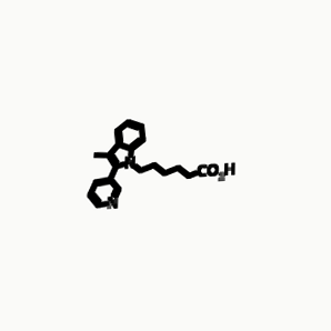 Cc1c(-c2cccnc2)n(CCCCCC(=O)O)c2ccccc12